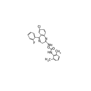 Cc1cccc(C)c1NC(=O)ONC1=Nc2ccc(Cl)cc2C(c2ccccc2F)=NC1